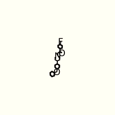 O=C(CN1CCC(c2ccc(Oc3ccccc3)cc2)CC1)c1ccc(F)cc1